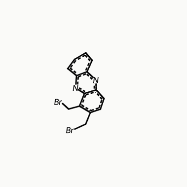 BrCc1ccc2nc3ccccc3nc2c1CBr